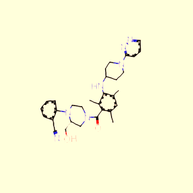 Cc1cc(C)c(C(=O)N2CCN(c3ccccc3C#N)[C@H](CO)C2)c(C)c1NC1CCN(c2cccnn2)CC1